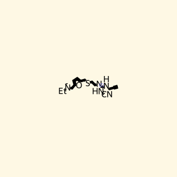 C#CCN/C(=N/CCSCc1ccc(CN(C)CC)o1)NC#N